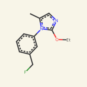 CCOc1ncc(C)n1-c1cccc(CF)c1